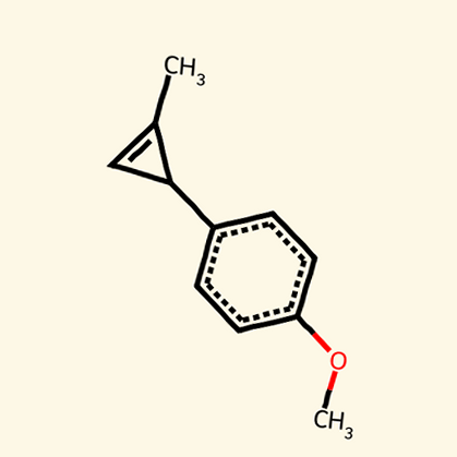 COc1ccc(C2C=C2C)cc1